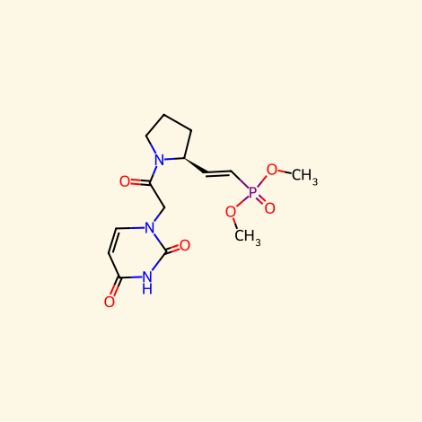 COP(=O)(/C=C/[C@@H]1CCCN1C(=O)Cn1ccc(=O)[nH]c1=O)OC